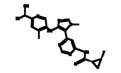 CCC(O)c1cc(C)c(Nc2ncn(C)c2-c2cc(NC(=O)[C@H]3C[C@H]3F)ncn2)cn1